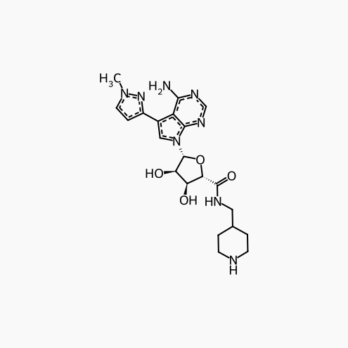 Cn1ccc(-c2cn([C@@H]3O[C@H](C(=O)NCC4CCNCC4)[C@@H](O)[C@H]3O)c3ncnc(N)c23)n1